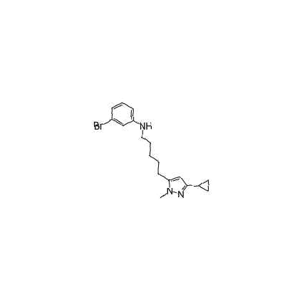 Cn1nc(C2CC2)cc1CCCCCNc1cccc(Br)c1